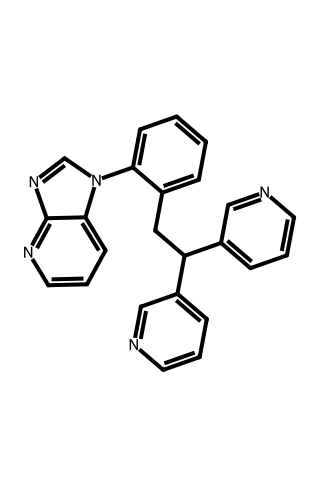 c1cncc(C(Cc2ccccc2-n2cnc3ncccc32)c2cccnc2)c1